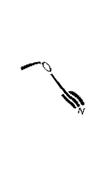 COC#N